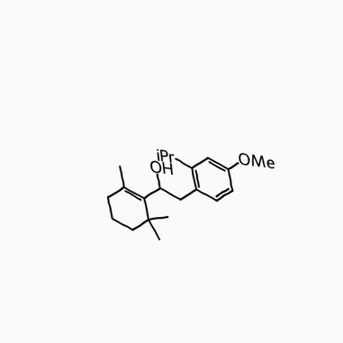 COc1ccc(CC(O)C2=C(C)CCCC2(C)C)c(C(C)C)c1